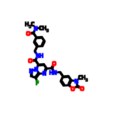 CN(C)C(=O)c1cccc(CNC(=O)c2cc(C(=O)NCc3ccc4oc(=O)n(C)c4c3)nc3c(F)cnn23)c1